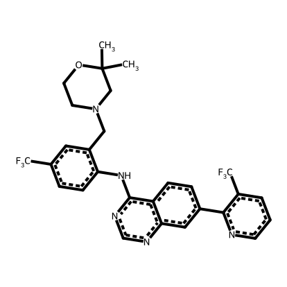 CC1(C)CN(Cc2cc(C(F)(F)F)ccc2Nc2ncnc3cc(-c4ncccc4C(F)(F)F)ccc23)CCO1